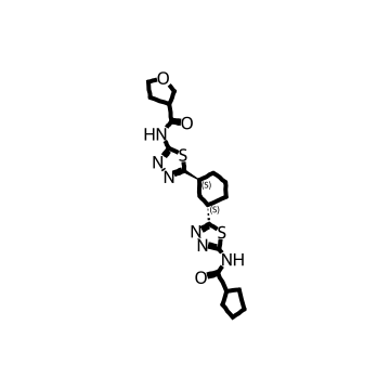 O=C(Nc1nnc([C@H]2CCC[C@H](c3nnc(NC(=O)C4CCOC4)s3)C2)s1)C1CCCC1